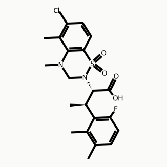 Cc1ccc(F)c([C@@H](C)[C@@H](C(=O)O)N2CN(C)c3c(ccc(Cl)c3C)S2(=O)=O)c1C